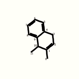 CC1=C[CH]c2ccccc2C1C